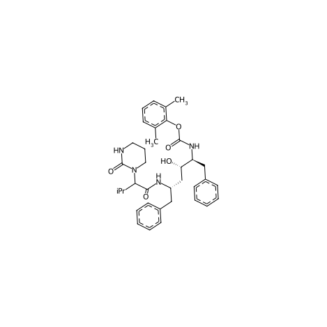 Cc1cccc(C)c1OC(=O)N[C@@H](Cc1ccccc1)[C@@H](O)C[C@H](Cc1ccccc1)NC(=O)C(C(C)C)N1CCCNC1=O